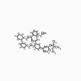 CC(C)(C)OC(=O)N=C(N)c1ccc(OCc2ccccc2)c(C=Cc2c(CO)cccc2C(=O)OCc2ccccc2)c1